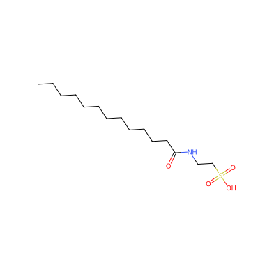 CCCCCCCCCCCCC(=O)NCCS(=O)(=O)O